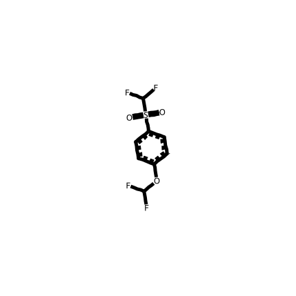 O=S(=O)(c1c[c]c(OC(F)F)cc1)C(F)F